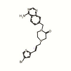 Nc1ncnc2cc(CN3CCN(C/C=C/c4cc(Br)cs4)CC3=O)ccc12